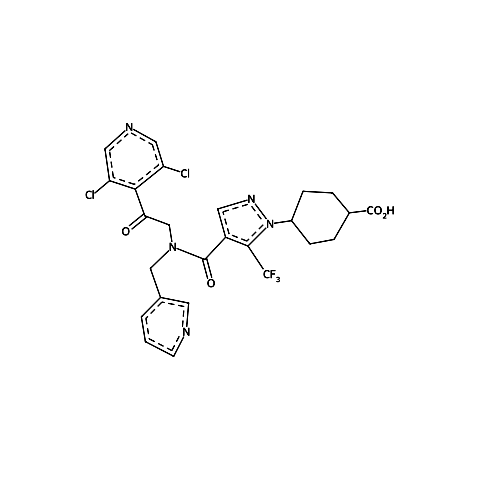 O=C(CN(Cc1cccnc1)C(=O)c1cnn(C2CCC(C(=O)O)CC2)c1C(F)(F)F)c1c(Cl)cncc1Cl